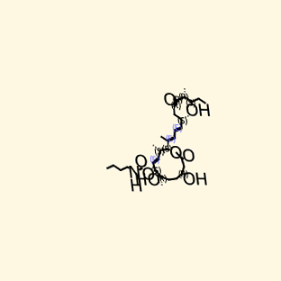 CCCCNC(=O)O[C@H]1/C=C/[C@H](C)[C@@H](/C(C)=C/C=C/[C@@H](C)C[C@H]2O[C@@H]2[C@H](C)[C@@H](O)CC)OC(=O)C[C@H](O)CC[C@@]1(C)O